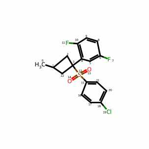 C[C]1CC(c2cc(F)ccc2F)(S(=O)(=O)c2ccc(Cl)cc2)C1